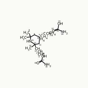 C.C.C.C.C.C.CC1(C)CCCC(C)(C)N1.NC(=O)O.NC(=O)O